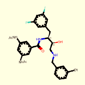 CCc1cccc(CNC[C@H](O)[C@H](Cc2cc(F)cc(F)c2)NC(=O)c2cc(NC(C)=O)cc(NC(C)=O)c2)c1